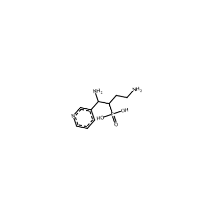 NCCC(C(N)c1cccnc1)P(=O)(O)O